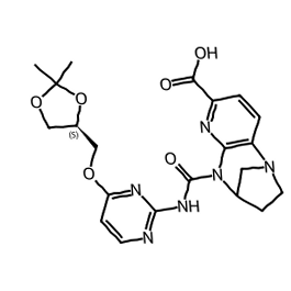 CC1(C)OC[C@H](COc2ccnc(NC(=O)N3c4nc(C(=O)O)ccc4N4CCC3C4)n2)O1